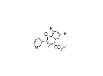 Cc1c(C(=O)O)c2cc(F)cc(F)c2c(=O)n1-c1cccnc1